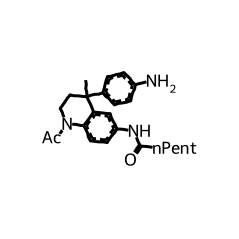 CCCCCC(=O)Nc1ccc2c(c1)C(C)(c1ccc(N)cc1)CCN2C(C)=O